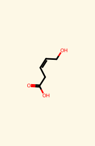 O=C(O)C/C=C\CO